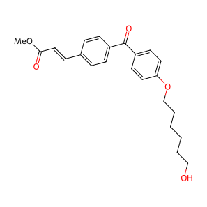 COC(=O)C=Cc1ccc(C(=O)c2ccc(OCCCCCCO)cc2)cc1